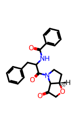 O=C(NC(Cc1ccccc1)C(=O)N1CC[C@@H]2OCC(=O)C21)c1ccccc1